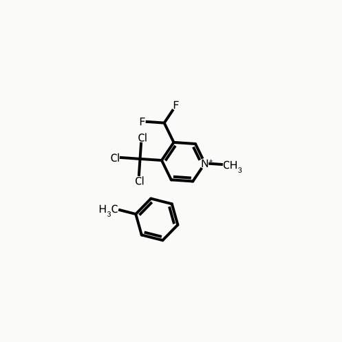 C[n+]1ccc(C(Cl)(Cl)Cl)c(C(F)F)c1.Cc1ccccc1